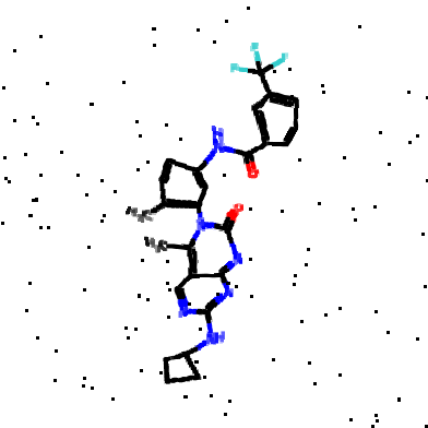 Cc1ccc(NC(=O)c2cccc(C(F)(F)F)c2)cc1-n1c(C)c2cnc(NC3CCC3)nc2nc1=O